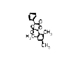 Cc1cc(C)c(C2OC(=O)C(c3ccccc3)OC2=O)c(C)c1